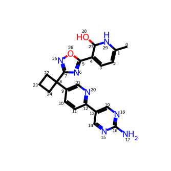 CC1=CC=C(c2nc(C3(c4ccc(-c5cnc(N)nc5)nc4)CCC3)no2)C(O)N1